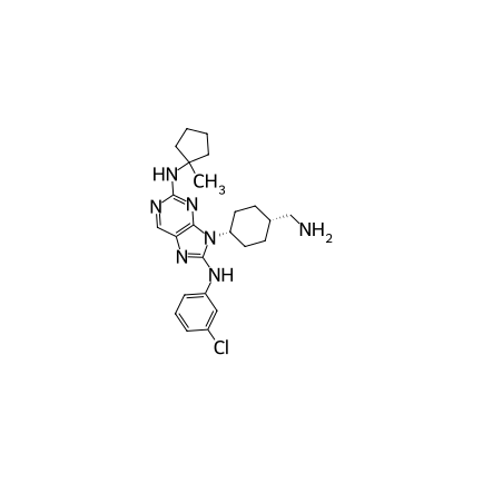 CC1(Nc2ncc3nc(Nc4cccc(Cl)c4)n([C@H]4CC[C@@H](CN)CC4)c3n2)CCCC1